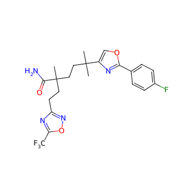 CC(CCc1noc(C(F)(F)F)n1)(CCC(C)(C)c1coc(-c2ccc(F)cc2)n1)C(N)=O